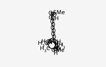 CO[C@@H]1/C=C/C=C(\C)Cc2cc(C)c(Cl)c(c2)N(C)C(=O)C[C@H](OC(=O)CCOCCOCCOCCOCCOCCOCCNC(=O)CCN2C(=O)CC(SC)C2=O)[C@]2(C)O[C@H]2[C@H](C)[C@@H]2C[C@@]1(O)NC(=O)O2